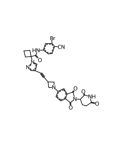 N#Cc1ccc(NC(=O)C2(n3cc(C#CC4CN(c5ccc6c(c5)C(=O)N(C5CCC(=O)NC5=O)C6=O)C4)cn3)CCC2)cc1Br